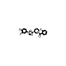 O=C(c1ccccc1F)N1CCCC([C@H]2N=CN(c3ccc(F)c(F)c3)O2)C1